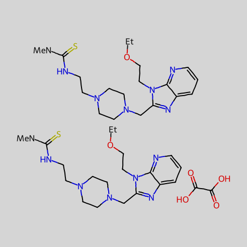 CCOCCn1c(CN2CCN(CCNC(=S)NC)CC2)nc2cccnc21.CCOCCn1c(CN2CCN(CCNC(=S)NC)CC2)nc2cccnc21.O=C(O)C(=O)O